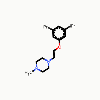 CC(C)c1[c]c(C(C)C)cc(OCCN2CCN(C)CC2)c1